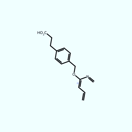 C=C/C=C(\N=C)OCc1ccc(CCC(=O)O)cc1